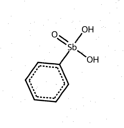 [O]=[Sb]([OH])([OH])[c]1ccccc1